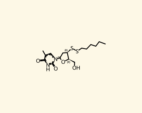 CCCCCCSS[C@@H]1C[C@H](n2cc(C)c(=O)[nH]c2=O)O[C@@H]1CO